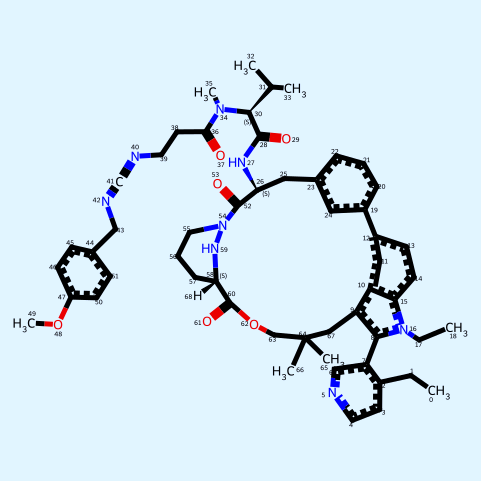 CCc1ccncc1-c1c2c3cc(ccc3n1CC)-c1cccc(c1)C[C@H](NC(=O)[C@H](C(C)C)N(C)C(=O)CCN=C=NCc1ccc(OC)cc1)C(=O)N1CCC[C@H](N1)C(=O)OCC(C)(C)C2